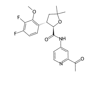 COc1c([C@@H]2CC(C)(C)O[C@H]2C(=O)Nc2ccnc(C(C)=O)c2)ccc(F)c1F